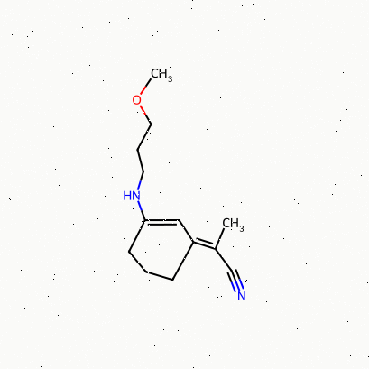 COCCCNC1=C/C(=C(\C)C#N)CCC1